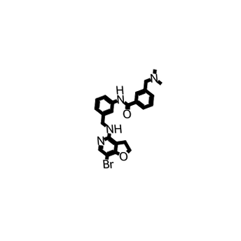 CN(C)Cc1cccc(C(=O)Nc2cccc(CNc3ncc(Br)c4c3CCO4)c2)c1